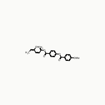 C=C(/C=C\C(O)=C/C)OC(=O)c1ccc(OC(=O)c2ccc(OC)cc2)cc1